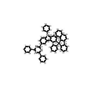 c1ccc(-c2nc(-c3ccccc3)nc(-c3ccc4c(c3)c3cc(C5(c6ccccc6)c6ccccc6-c6ccc7ccccc7c65)ccc3n4-c3ccccc3)n2)cc1